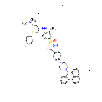 Cc1cc(S(=O)(=O)NC(=O)c2ccc(N3CCN(Cc4ccccc4-c4cccc5ccccc45)CC3)cc2)ccc1N[C@H](CCN(C)C)CSc1ccccc1